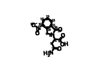 NC(=O)CC(C(=O)O)N1Cc2c(cccc2[N+](=O)[O-])C1=O